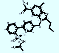 CCCc1nc2c(C)cc(C(=O)O)cc2n1Cc1ccc(-c2ccccc2S(=O)(=O)NC(C)=O)nc1